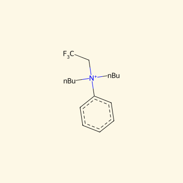 CCCC[N+](CCCC)(CC(F)(F)F)c1ccccc1